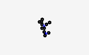 CC1(c2cccc(N(c3ccc(-c4ccccc4)cc3)c3ccc(-c4ccc5c6ccccc6n(-c6ccccc6)c5c4)c4ccccc34)c2)c2ccccc2-c2ccccc21